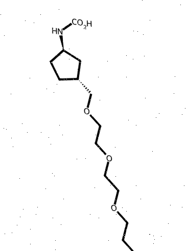 O=C(O)N[C@@H]1CC[C@@H](COCCOCCOCCO)C1